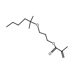 C=C(C)C(=O)OCCCOC(C)(C)CCCC